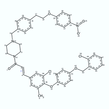 Cc1cc(/C=C/C(=O)N2CCN(Cc3ccc(CCOc4ccc([N+](=O)[O-])cc4)cc3)CC2)cc(Cl)c1Oc1ccc(OCc2ccccc2Cl)cn1